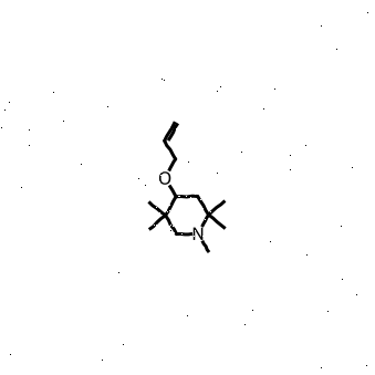 C=CCOC1CC(C)(C)N(C)CC1(C)C